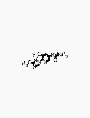 Cc1ncn(-c2ncc(NC(N)=O)cc2C(F)(F)F)n1